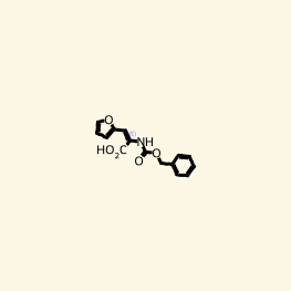 O=C(N/C(=C/c1ccco1)C(=O)O)OCc1ccccc1